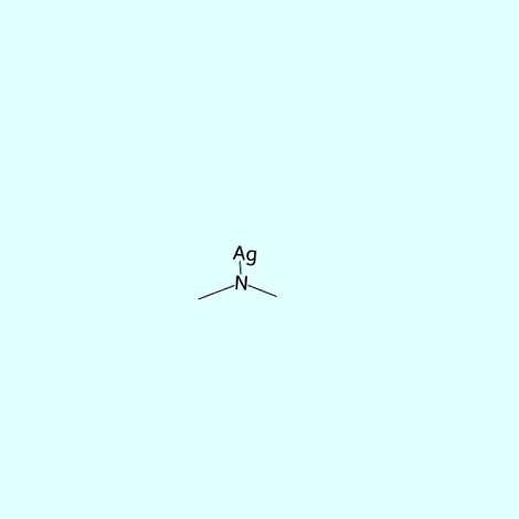 C[N](C)[Ag]